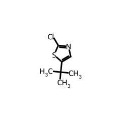 CC(C)(C)c1cnc(Cl)s1